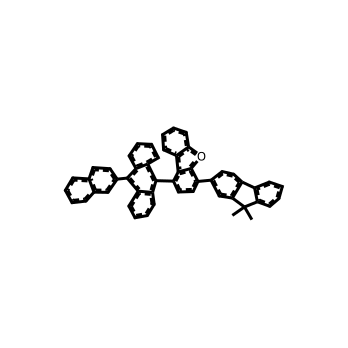 CC1(C)c2ccccc2-c2ccc(-c3ccc(-c4c5ccccc5c(-c5ccc6ccccc6c5)c5ccccc45)c4c3oc3ccccc34)cc21